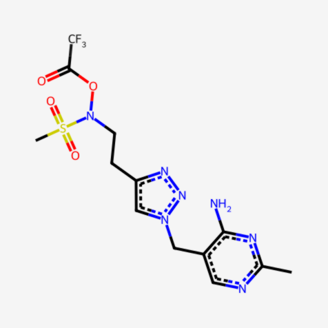 Cc1ncc(Cn2cc(CCN(OC(=O)C(F)(F)F)S(C)(=O)=O)nn2)c(N)n1